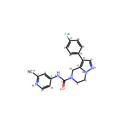 N#Cc1cc(NC(=O)N2CCn3ncc(-c4ccc(F)cc4)c3C2)ccn1